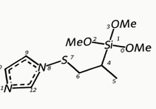 CO[Si](OC)(OC)C(C)CSn1ccnc1